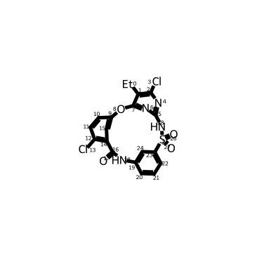 CCc1c(Cl)nc2nc1Oc1ccc(Cl)c(c1)C(=O)Nc1cccc(c1)S(=O)(=O)N2